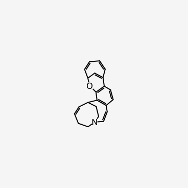 C1=CC2=CC(C=C1)Oc1c2ccc2c1C1/C=C\CCN(/C=C\2)CC1